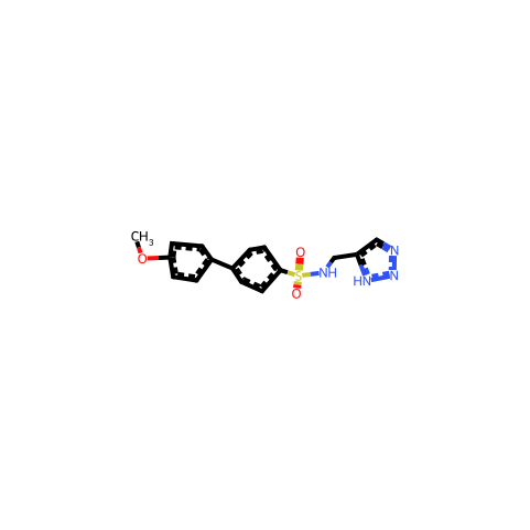 COc1ccc(-c2ccc(S(=O)(=O)NCc3cnn[nH]3)cc2)cc1